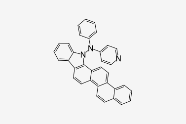 c1ccc(N(c2ccncc2)n2c3ccccc3c3ccc4c5ccc6ccccc6c5ccc4c32)cc1